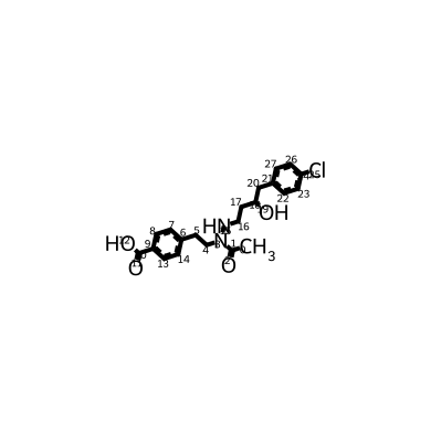 CC(=O)N(CCc1ccc(C(=O)O)cc1)NCCC(O)Cc1ccc(Cl)cc1